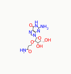 CNC(=O)CCO[C@@H]1[C@H](O)[C@@H](CO)O[C@H]1n1cnc2c(=O)[nH]c(N)nc21